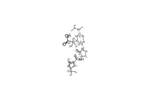 CC(C)N(C)[C@@H]1CC[C@H](N2CCC(NC(=O)c3cc(C(C)(C)C)nn3C)C2=O)[C@H](CC(C)(C)C(=O)O)C1